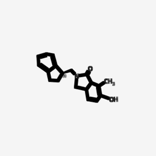 CC1=C(O)C=CC2CN(C[C@H]3CCc4ccccc43)C(=O)C12